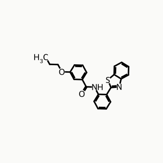 CCCOc1cccc(C(=O)Nc2ccccc2-c2nc3ccccc3s2)c1